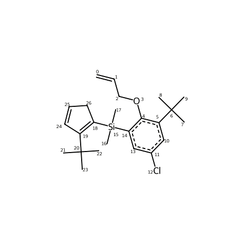 C=CCOc1c(C(C)(C)C)cc(Cl)cc1[Si](C)(C)C1=C(C(C)(C)C)C=CC1